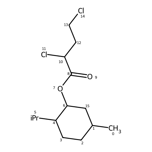 CC1CCC(C(C)C)C(OC(=O)C(Cl)CCCl)C1